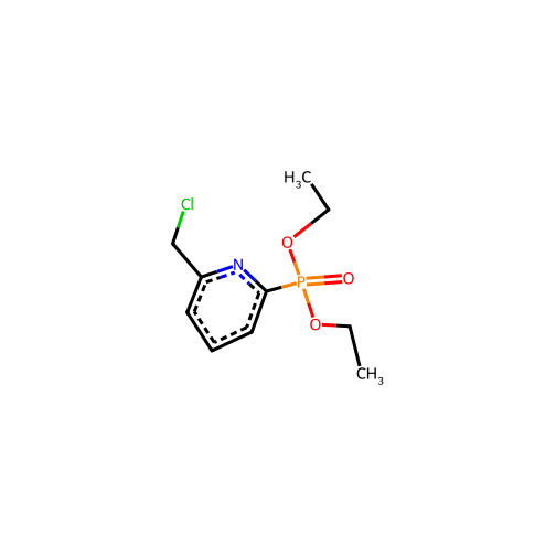 CCOP(=O)(OCC)c1cccc(CCl)n1